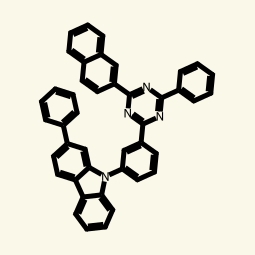 c1ccc(-c2ccc3c4ccccc4n(-c4cccc(-c5nc(-c6ccccc6)nc(-c6ccc7ccccc7c6)n5)c4)c3c2)cc1